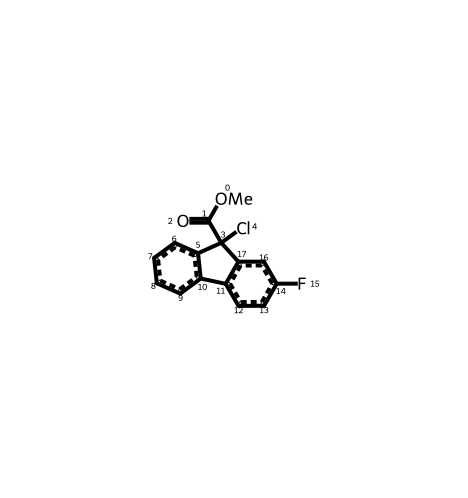 COC(=O)C1(Cl)c2ccccc2-c2ccc(F)cc21